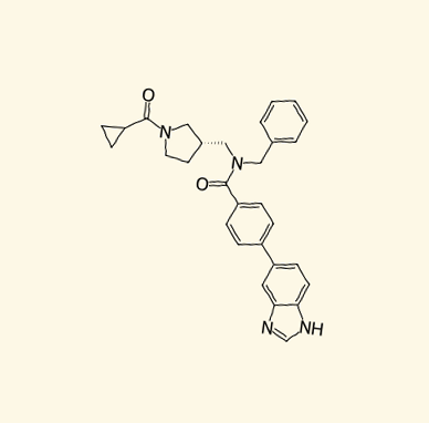 O=C(c1ccc(-c2ccc3[nH]cnc3c2)cc1)N(Cc1ccccc1)C[C@@H]1CCN(C(=O)C2CC2)C1